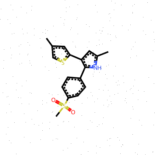 Cc1csc(-c2cc(C)[nH]c2-c2ccc(S(C)(=O)=O)cc2)c1